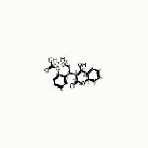 CCC(c1ccccc1OC(C)=O)c1c(O)c2ccccc2oc1=O